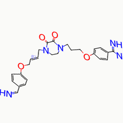 N=Cc1ccc(OC/C=C/CN2CCN(CCCOc3ccc(C(=N)N)cc3)C(=O)C2=O)cc1